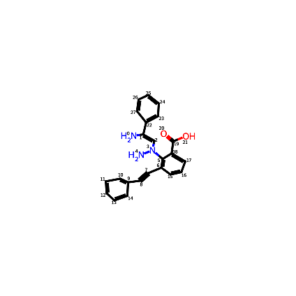 N/C(=C\N(N)c1c(C#Cc2ccccc2)cccc1C(=O)O)c1ccccc1